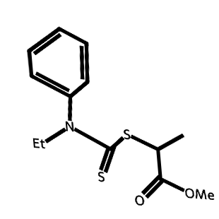 CCN(C(=S)SC(C)C(=O)OC)c1ccccc1